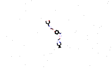 CC(=NOCCN1CCC2(CC1)CC2)c1ccc(OCC(=O)NCC2C=COCC2)cc1